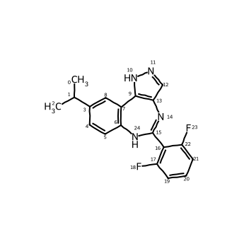 CC(C)c1ccc2c(c1)-c1[nH]ncc1N=C(c1c(F)cccc1F)N2